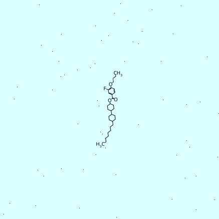 CCCCCCCCC1CCC(C2CCC(OC(=O)c3ccc(OCCCC)c(F)c3)CC2)CC1